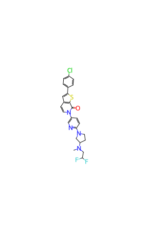 CN(CC(F)F)C1CCN(c2ccc(-n3ccc4cc(-c5ccc(Cl)cc5)sc4c3=O)cn2)C1